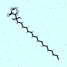 CCCCCCCCCCCCCCCCCC(C)(C)C1ON=NC1=O